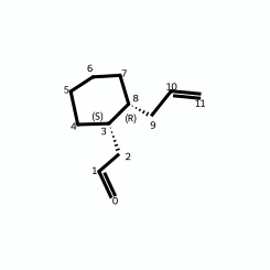 C=CC[C@@H]1CCCC[C@@H]1CC=C